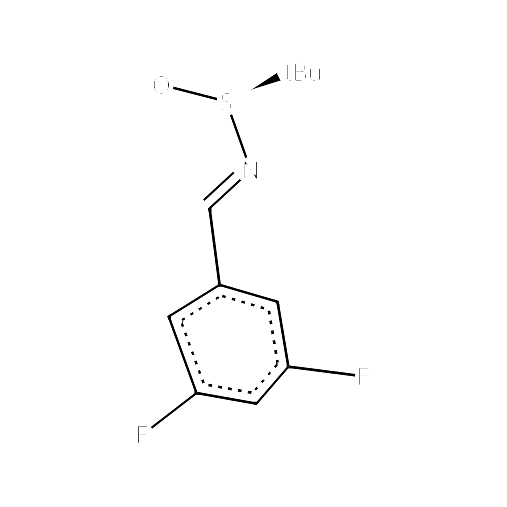 CC(C)(C)[S@+]([O-])/N=C/c1cc(F)cc(F)c1